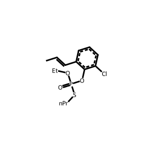 CC=Cc1cccc(Cl)c1OP(=O)(OCC)SCCC